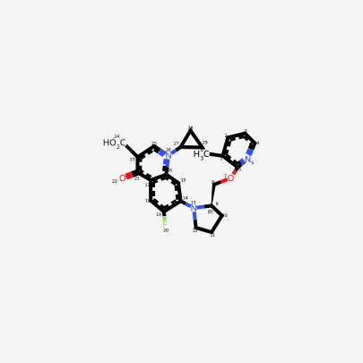 Cc1cccnc1OC[C@H]1CCCN1c1cc2c(cc1F)c(=O)c(C(=O)O)cn2C1CC1